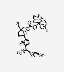 CC(C)(C)OC(=O)OCC1(C#N)CCC(c2ccc(/C(N)=N\C=N)[nH]2)O1